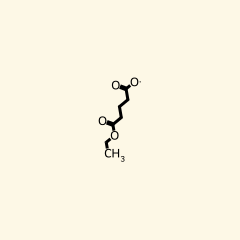 CCOC(=O)CCCC([O])=O